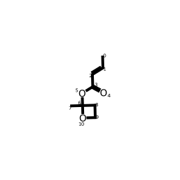 CC=CC(=O)OC1(C)CCO1